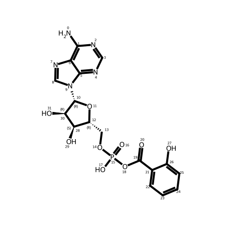 Nc1ncnc2c1ncn2[C@@H]1O[C@H](COP(=O)(O)OC(=O)c2ccccc2O)[C@@H](O)[C@H]1O